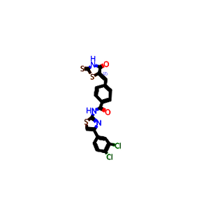 O=C1NC(=S)S/C1=C\c1ccc(C(=O)Nc2nc(-c3ccc(Cl)c(Cl)c3)cs2)cc1